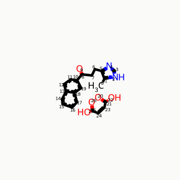 Cc1[nH]cnc1CCC(=O)c1ccc2ccccc2c1.O=C(O)/C=C\C(=O)O